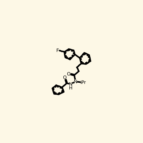 CC(C)N(NC(=O)c1ccccc1)C(=O)CCc1ccccc1-c1ccc(F)cc1